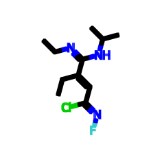 CC/N=C(NC(C)C)\C(=C\C(Cl)=NF)CC